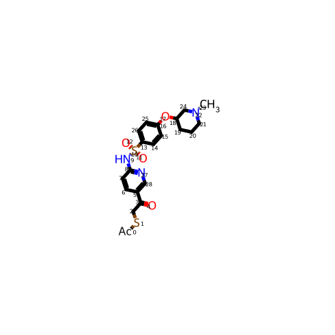 CC(=O)SCC(=O)c1ccc(NS(=O)(=O)c2ccc(OC3CCCN(C)C3)cc2)nc1